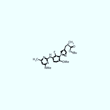 CNc1cc(C)nc(Nc2ccc(OC)c(-n3cc(CN(C)C(=O)OC(C)(C)C)cn3)c2F)n1